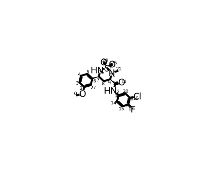 COc1cccc([C@@H]2C[C@H](C(=O)Nc3ccc(F)c(Cl)c3)N(C)S(=O)(=O)N2)c1